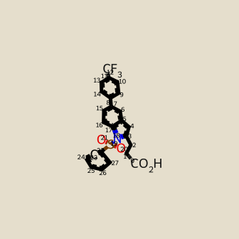 O=C(O)CCc1cc2cc(-c3ccc(C(F)(F)F)cc3)ccc2n1S(=O)(=O)c1ccccc1